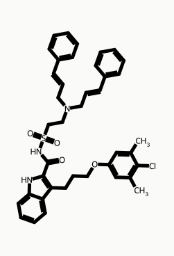 Cc1cc(OCCCc2c(C(=O)NS(=O)(=O)CCN(C/C=C/c3ccccc3)C/C=C/c3ccccc3)[nH]c3ccccc23)cc(C)c1Cl